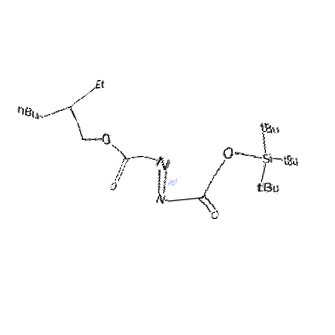 CCCCC(CC)COC(=O)/N=N/C(=O)O[Si](C(C)(C)C)(C(C)(C)C)C(C)(C)C